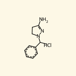 CC(c1ccccc1)N1CCC(N)=N1.Cl